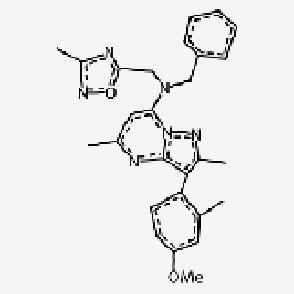 COc1ccc(-c2c(C)nn3c(N(Cc4ccccc4)Cc4nc(C)no4)cc(C)nc23)c(C)c1